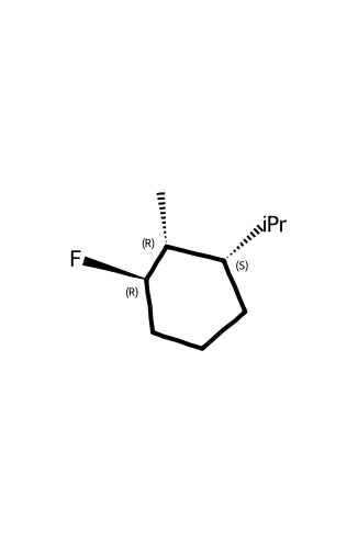 CC(C)[C@@H]1CCC[C@@H](F)[C@@H]1C